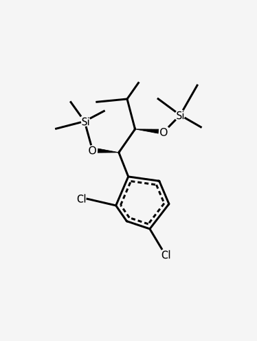 CC(C)[C@@H](O[Si](C)(C)C)[C@H](O[Si](C)(C)C)c1ccc(Cl)cc1Cl